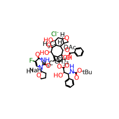 CC(=O)O[C@@]12CO[C@@H]1C[C@H](O)[C@@]1(C)C(=O)[C@H](O)C3=C(C)[C@@H](OC(=O)[C@H](O)[C@@H](NC(=O)OC(C)(C)C)c4ccccc4)C[C@@](O)([C@@H](OC(=O)c4ccccc4)[C@H]21)C3(C)C.O=c1[nH]c(=O)n([C@H]2CCCO2)cc1F.[Cl-].[H+].[NaH]